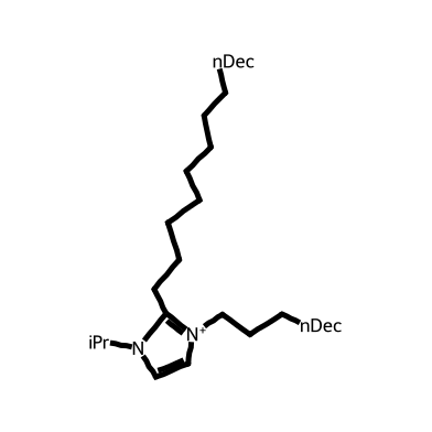 CCCCCCCCCCCCCCCCCCc1n(C(C)C)cc[n+]1CCCCCCCCCCCCC